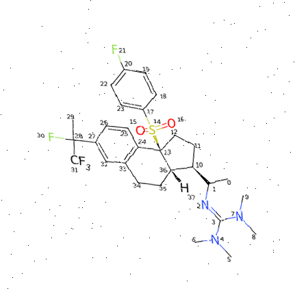 CC(N=C(N(C)C)N(C)C)[C@@H]1CC[C@@]2(S(=O)(=O)c3ccc(F)cc3)c3ccc(C(C)(F)C(F)(F)F)cc3CC[C@@H]12